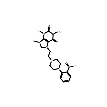 Cn1c2c(c(=O)n(C)c1=O)N(CCN1CCN(c3ccccc3[N+](=O)[O-])CC1)CN2N